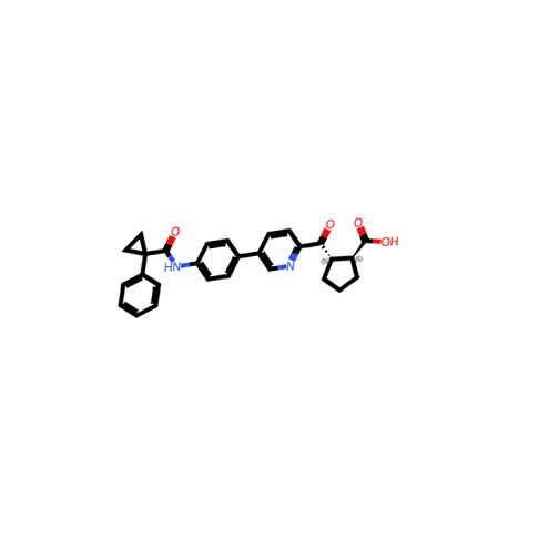 O=C(O)[C@H]1CCC[C@@H]1C(=O)c1ccc(-c2ccc(NC(=O)C3(c4ccccc4)CC3)cc2)cn1